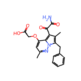 Cc1cc(OCC(=O)O)c2c(C(=O)C(N)=O)c(C)c(Cc3ccccc3)n2n1